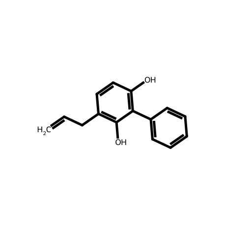 C=CCc1ccc(O)c(-c2ccccc2)c1O